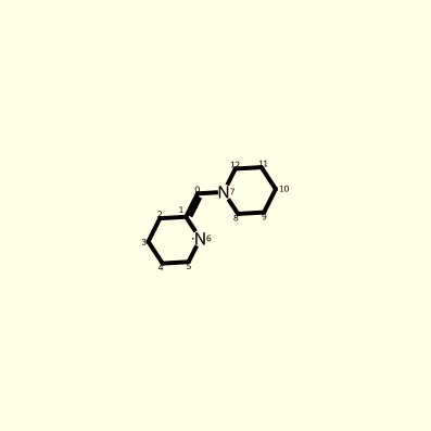 C(=C1\CCCC[N]1)/N1CCCCC1